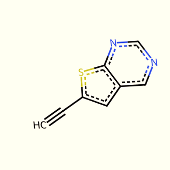 C#Cc1cc2cncnc2s1